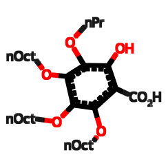 CCCCCCCCOc1c(OCCC)c(O)c(C(=O)O)c(OCCCCCCCC)c1OCCCCCCCC